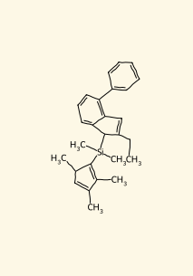 CCC1=Cc2c(-c3ccccc3)cccc2C1[Si](C)(C)C1=C(C)C(C)=CC1C